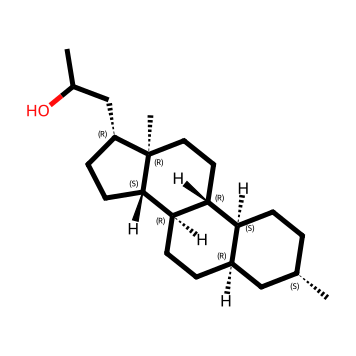 CC(O)C[C@H]1CC[C@H]2[C@@H]3CC[C@@H]4C[C@@H](C)CC[C@@H]4[C@H]3CC[C@]12C